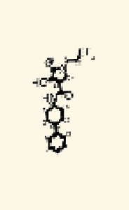 O=C(NC1CCC(c2ccccc2)CC1)C1=C(O)C(=O)N(CCC(F)(F)F)C1